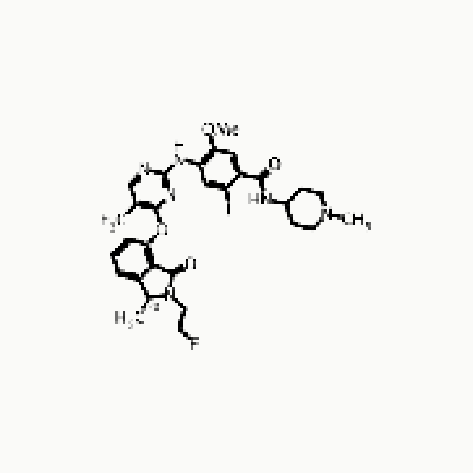 COc1cc(C(=O)NC2CCN(C)CC2)c(F)cc1Nc1ncc(C(F)(F)F)c(Oc2cccc3c2C(=O)N(CCF)[C@H]3C)n1